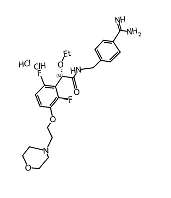 CCO[C@H](C(=O)NCc1ccc(C(=N)N)cc1)c1c(F)ccc(OCCN2CCOCC2)c1F.Cl.Cl